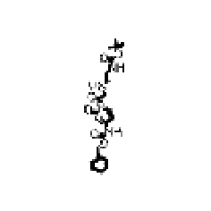 CC(C)(C)OC(=O)NCCNCC(=O)n1ccc(NC(=O)OCc2ccccc2)nc1=O